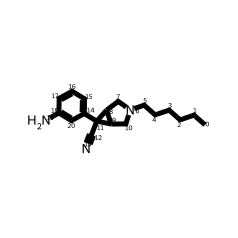 CCCCCCN1CC2C(C1)C2(C#N)c1cccc(N)c1